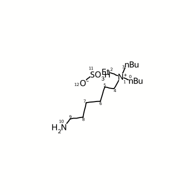 CCCC[N+](CC)(CCCC)CCCCCCN.O=S(=O)([O-])O